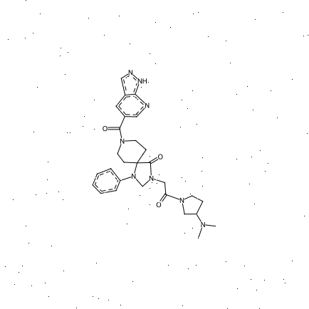 CN(C)C1CCN(C(=O)CN2CN(c3ccccc3)C3(CCN(C(=O)c4cnc5[nH]ncc5c4)CC3)C2=O)C1